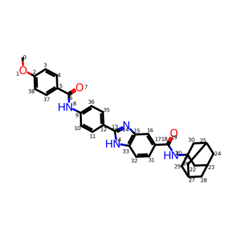 COc1ccc(C(=O)Nc2ccc(-c3nc4cc(C(=O)NC56CC7CC(CC(C7)C5)C6)ccc4[nH]3)cc2)cc1